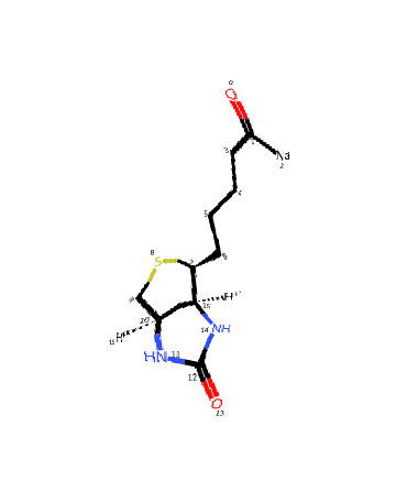 O=[C]([Na])CCCC[C@@H]1SC[C@@H]2NC(=O)N[C@@H]21